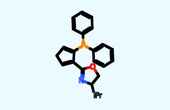 CC(C)C1COC(C2=CCC=C2P(c2ccccc2)c2ccccc2)=N1